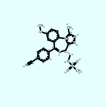 COc1ccc2c(c1)C(c1ccc(C#N)cc1)=N[C@@H](COS(C)(=O)=O)c1nnc(C)n1-2